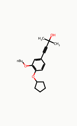 CCCCOc1cc(C#CC(C)(C)O)ccc1OC1CCCC1